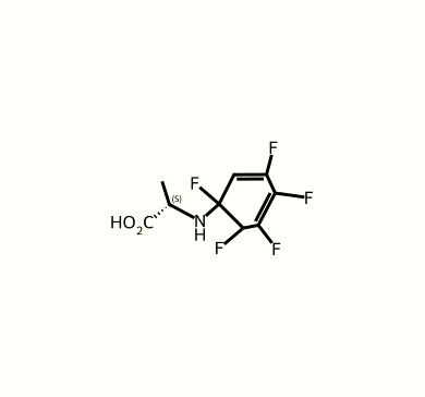 C[C@H](NC1(F)C=C(F)C(F)=C(F)C1F)C(=O)O